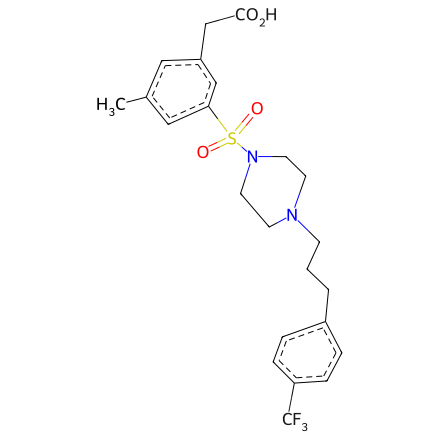 Cc1cc(CC(=O)O)cc(S(=O)(=O)N2CCN(CCCc3ccc(C(F)(F)F)cc3)CC2)c1